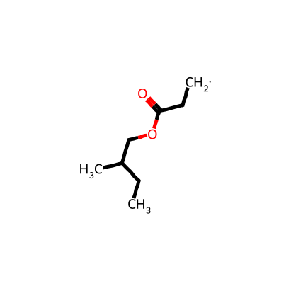 [CH2]CC(=O)OCC(C)CC